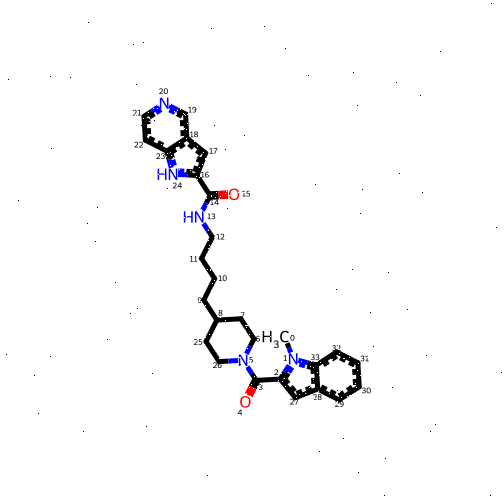 Cn1c(C(=O)N2CCC(CCCCNC(=O)c3cc4cnccc4[nH]3)CC2)cc2ccccc21